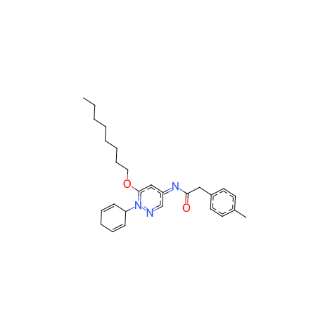 CCCCCCCCOc1cc(=NC(=O)Cc2ccc(C)cc2)cnn1C1C=CCC=C1